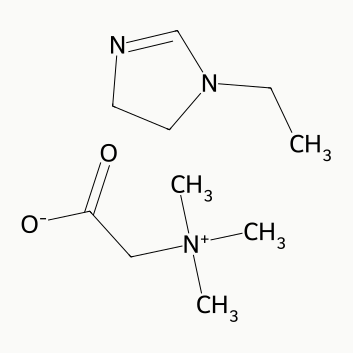 CCN1C=NCC1.C[N+](C)(C)CC(=O)[O-]